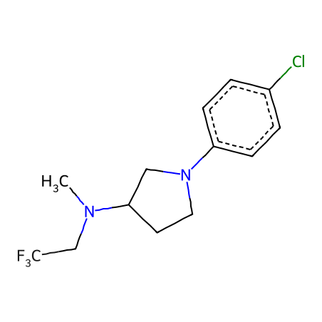 CN(CC(F)(F)F)C1CCN(c2ccc(Cl)cc2)C1